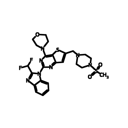 CS(=O)(=O)N1CCN(Cc2cc3nc(-n4c(C(F)F)nc5ccccc54)nc(N4CCOCC4)c3s2)CC1